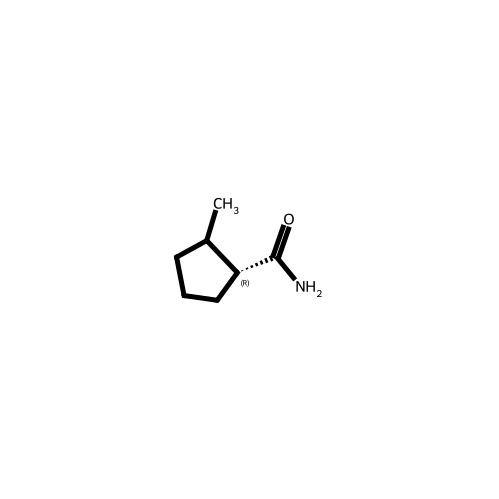 CC1CCC[C@H]1C(N)=O